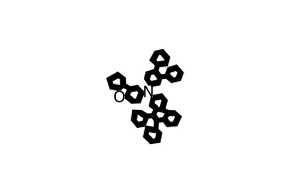 c1ccc(-c2ccc(N(c3ccc4c(c3)c(-c3ccccc3)c(-c3ccccc3)c3ccccc34)c3ccc4oc5ccccc5c4c3)cc2-c2ccccc2)cc1